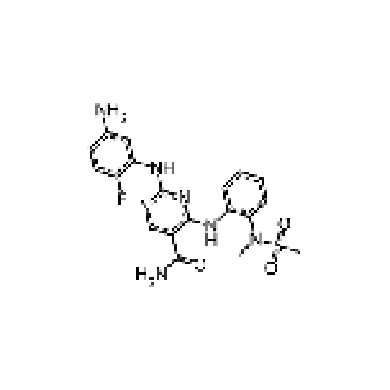 CN(c1ccccc1Nc1nc(Nc2cc(N)ccc2F)ncc1C(N)=O)S(C)(=O)=O